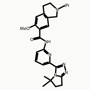 COc1cc2c(cc1C(=O)Nc1cccc(-c3nnc4n3C(C)(C)CC4)n1)CN(C(C)C)CC2